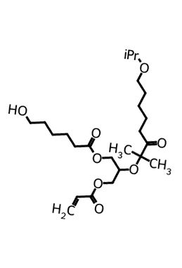 C=CC(=O)OCC(COC(=O)CCCCCO)OC(C)(C)C(=O)CCCCCOC(C)C